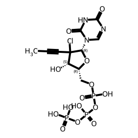 CC#CC1(Cl)[C@@H](O)[C@@H](COP(=O)(O)OP(=O)(O)OP(=O)(O)O)O[C@H]1n1cnc(=O)[nH]c1=O